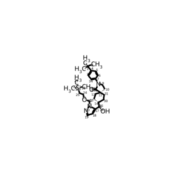 CC(C)(C)c1ccc(N2CC[C@]3(CC[C@@H]([C@@H](O)c4ccnn4COCC[Si](C)(C)C)CC3)C2=O)cc1